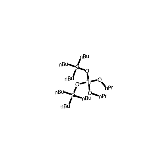 CCCC[Si](CCCC)(CCCC)[O][Ti]([O]CCC)([O]CCC)[O][Si](CCCC)(CCCC)CCCC